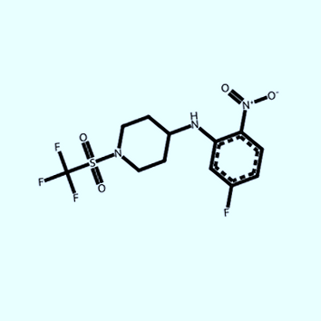 O=[N+]([O-])c1ccc(F)cc1NC1CCN(S(=O)(=O)C(F)(F)F)CC1